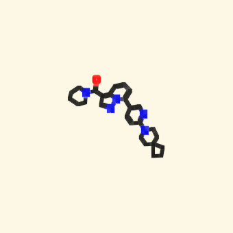 O=C(c1cnn2c(-c3ccc(N4CCC5(CCC5)CC4)nc3)cccc12)N1CCCCC1